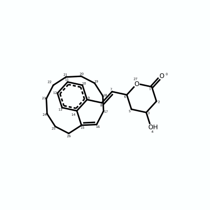 O=C1CC(O)CC(/C=C/c2ccccc2/C2=C\CCCCCCCCCC2)O1